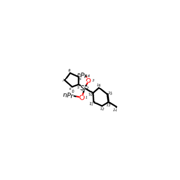 CCCO[Si](OCCC)(C1CCCC1)C1CCC(C)CC1